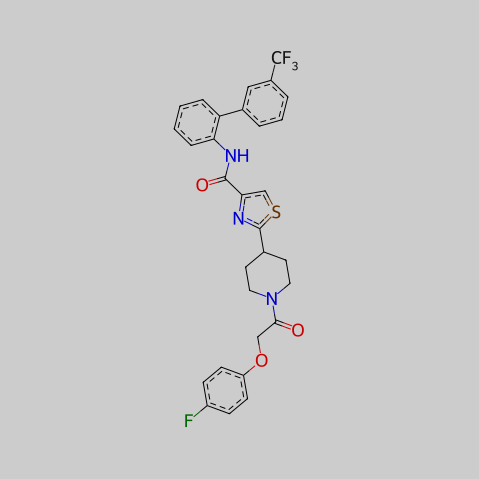 O=C(Nc1ccccc1-c1cccc(C(F)(F)F)c1)c1csc(C2CCN(C(=O)COc3ccc(F)cc3)CC2)n1